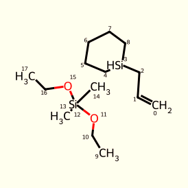 C=CC[SiH]1CCCCC1.CCO[Si](C)(C)OCC